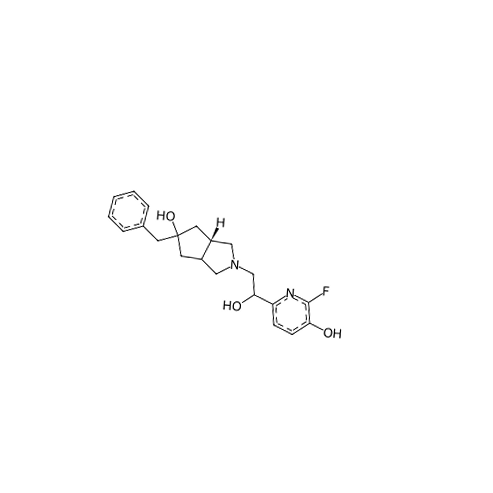 Oc1ccc(C(O)CN2CC3CC(O)(Cc4ccccc4)C[C@@H]3C2)nc1F